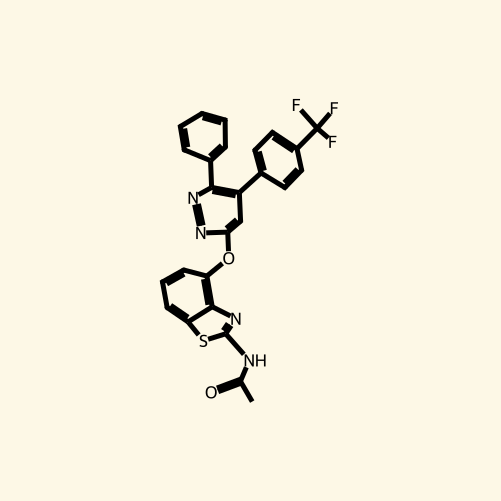 CC(=O)Nc1nc2c(Oc3cc(-c4ccc(C(F)(F)F)cc4)c(-c4ccccc4)nn3)cccc2s1